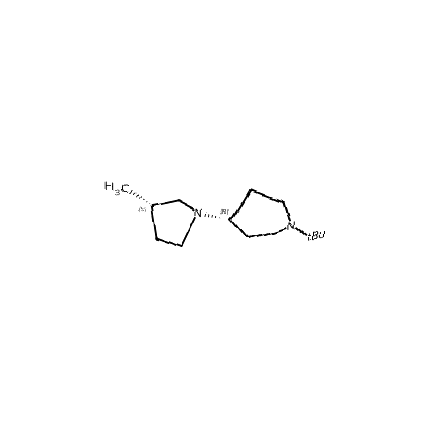 C[C@H]1CCN([C@@H]2CCN(C(C)(C)C)C2)C1